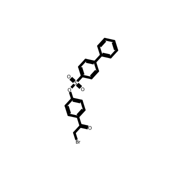 O=C(CBr)c1ccc(OS(=O)(=O)c2ccc(-c3ccccc3)cc2)cc1